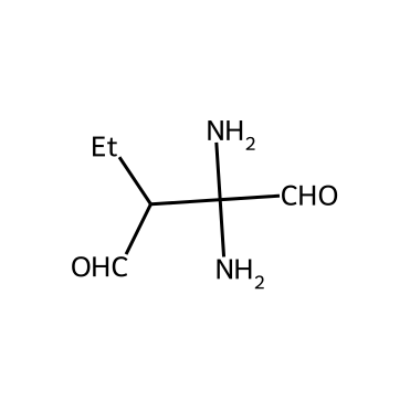 CCC(C=O)C(N)(N)C=O